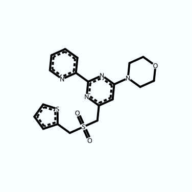 O=S(=O)(Cc1cc(N2CCOCC2)nc(-c2ccccn2)n1)Cc1cccs1